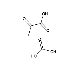 CC(=O)C(=O)O.O=C(O)O